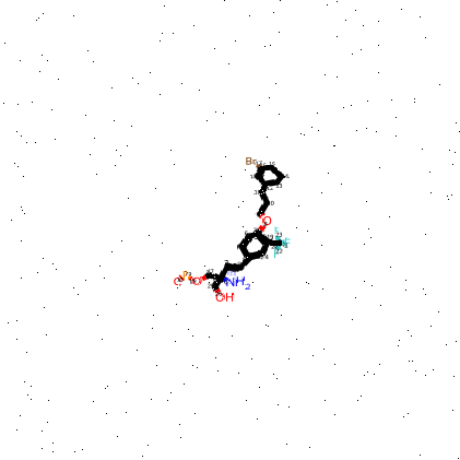 NC(/C=C/c1ccc(OCCCc2cccc(Br)c2)c(C(F)(F)F)c1)(CO)COP=O